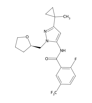 CC1(c2cc(NC(=O)c3cc(C(F)(F)F)ccc3F)n(C[C@H]3CCCO3)n2)CC1